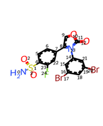 NS(=O)(=O)c1ccc(-c2coc(=O)n2-c2cc(Br)cc(Br)c2)cc1F